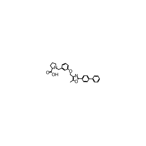 Cc1oc(-c2ccc(-c3ccccc3)cc2)nc1COc1cccc(CN2CCCC2C(=O)O)c1